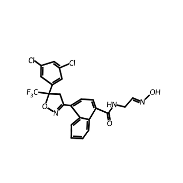 O=C(NCC=NO)c1ccc(C2=NOC(c3cc(Cl)cc(Cl)c3)(C(F)(F)F)C2)c2ccccc12